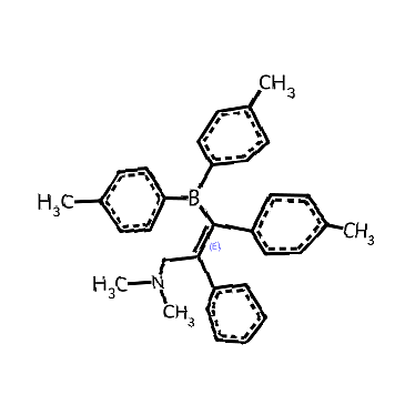 Cc1ccc(B(/C(=C(\CN(C)C)c2ccccc2)c2ccc(C)cc2)c2ccc(C)cc2)cc1